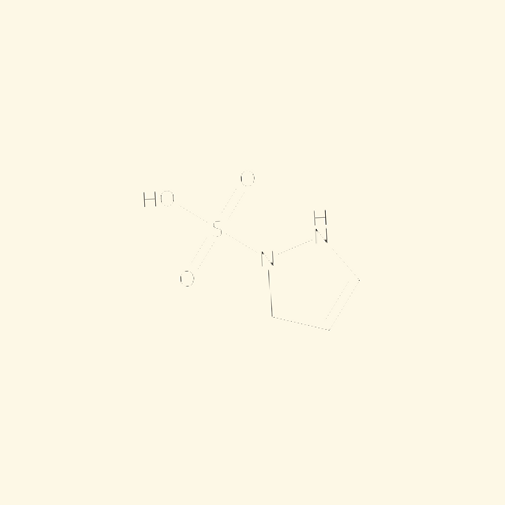 O=S(=O)(O)N1CC=CN1